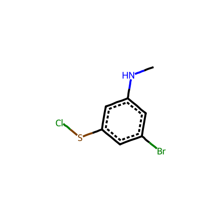 CNc1cc(Br)cc(SCl)c1